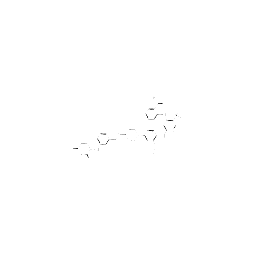 CNC(=O)c1ccccc1Nc1cc(Nc2cc(C)c(N3CCC(N(C)Cc4cccc(NC5CCC(=O)NC5=O)c4)CC3)cc2OC(C)C)ncc1C(F)(F)F